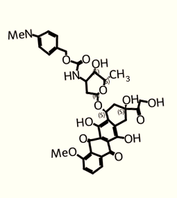 CNc1ccc(COC(=O)NC2C[C@H](O[C@H]3C[C@](O)(C(=O)CO)Cc4c(O)c5c(c(O)c43)C(=O)c3c(OC)cccc3C5=O)O[C@@H](C)[C@H]2O)cc1